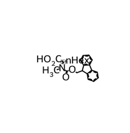 CCCCCC[C@@H](C(=O)O)N(C)C(=O)OCC1c2ccccc2-c2ccccc21